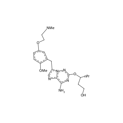 CCCC(CCO)Oc1nc(N)c2ncc(Cc3cc(OCCNC)ccc3OC)n2n1